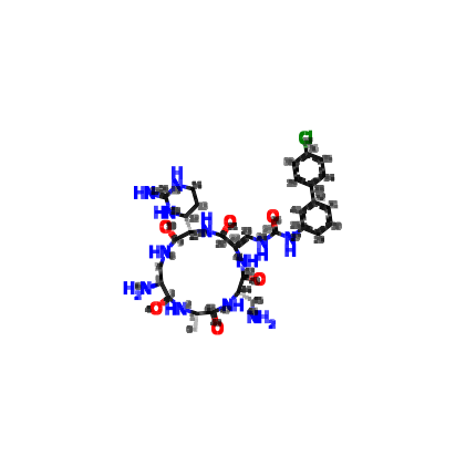 C[C@@H]1NC(=O)[C@@H](N)CNC(=O)[C@H](C2CCNC(=N)N2)NC(=O)/C(=C/NC(=O)Nc2cccc(-c3ccc(Cl)cc3)c2)NC(=O)[C@H](CN)NC1=O